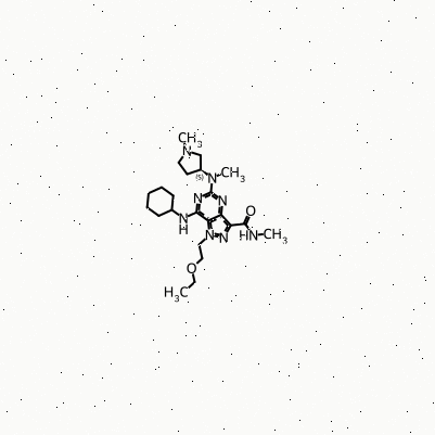 CCOCCn1nc(C(=O)NC)c2nc(N(C)[C@H]3CCN(C)C3)nc(NC3CCCCC3)c21